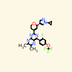 Cc1nc2nc(C3=C[C@H](c4cnn(C5CC5)c4)OCC3)nc(-c3ccc(OC(F)(F)F)cc3F)c2nc1C